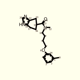 Cc1cccc(OCCCCN(C)C(=O)C2CCc3[nH]cnc3C2)c1